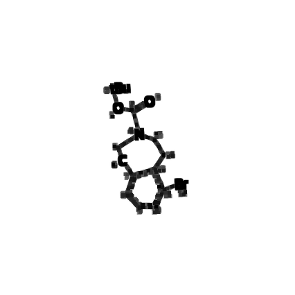 CC(C)(C)OC(=O)N1CCc2cccc(Br)c2CC1